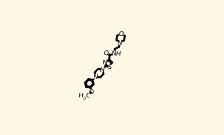 COc1cccc(N2CCN(c3nc(C(=O)NCCN4CCOCC4)cs3)CC2)c1